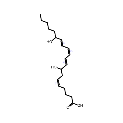 CCCCCC(O)/C=C/C=C\C=C\C(O)C/C=C\CCCC(=O)O